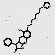 O=C1NC2=Nc3ccc(OCCCCCCn4ccnc4)c(Cl)c3CN2C1c1ccccc1